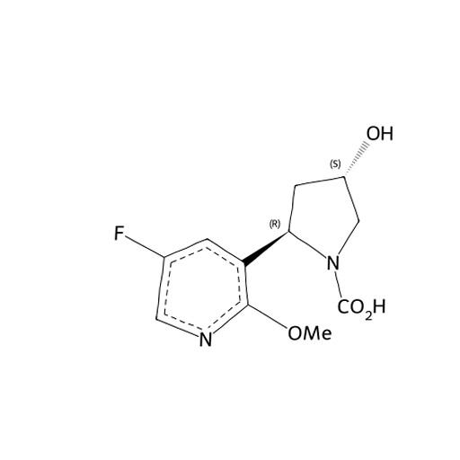 COc1ncc(F)cc1[C@H]1C[C@H](O)CN1C(=O)O